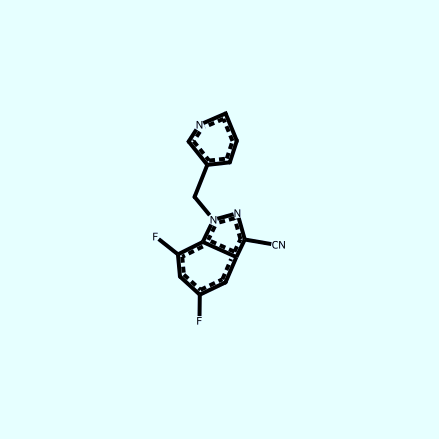 N#Cc1nn(Cc2cccnc2)c2c(F)cc(F)cc12